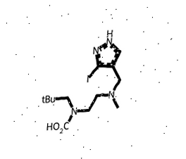 CN(CCN(CC(C)(C)C)C(=O)O)Cc1c[nH]nc1I